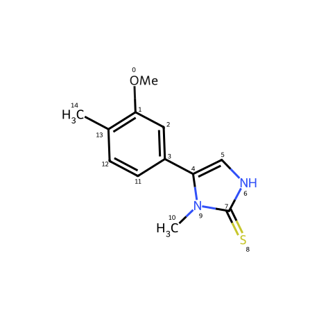 COc1cc(-c2c[nH]c(=S)n2C)ccc1C